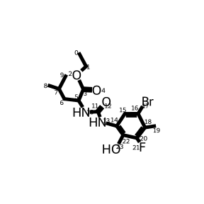 CCOC(=O)C(CC(C)C)NC(=O)Nc1cc(Br)c(C)c(F)c1O